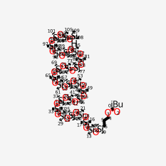 CCC(C)C(=O)OCCC[Si](C)(C)O[Si](C)(C)O[Si](C)(C)O[Si](C)(C)O[Si](C)(C)O[Si](C)(C)O[Si](C)(C)O[Si](C)(C)O[Si](C)(C)O[Si](C)(C)O[Si](C)(C)O[Si](C)(C)O[Si](C)(C)O[Si](C)(C)O[Si](C)(C)O[Si](C)(C)O[Si](C)(C)O[Si](C)(C)O[Si](C)(C)O[Si](C)(C)O[Si](C)(C)O[Si](C)(C)O[Si](C)(C)O[Si](C)(C)O[Si](C)(C)O[SiH](C)C